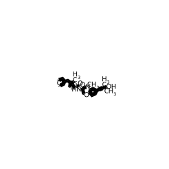 Cc1c(Cc2ccccc2)cnn1C(=O)N[C@H]1COc2ccc(C#CC(C)(C)O)cc2N(C)C1=O